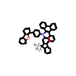 CC1(C)c2ccccc2-c2ccc(N(c3ccc(-c4cccc5c4oc4ccccc45)cc3)c3c(-c4ccccc4)c4ccccc4c4ccccc34)cc21